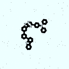 c1ccc(N(c2ccccc2)c2ccc(-c3cnc4sc5ccc(-c6cccc(-c7cccc8c7sc7ccccc78)c6)cc5c4n3)cc2)cc1